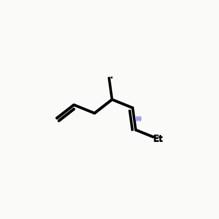 [CH2]C(/C=C/CC)CC=C